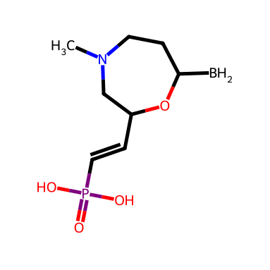 BC1CCN(C)CC(/C=C/P(=O)(O)O)O1